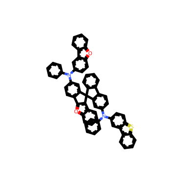 c1ccc(N(c2ccc3c(c2)C2(c4ccccc4-c4ccc(N(c5ccccc5)c5ccc6sc7ccccc7c6c5)cc42)c2c-3oc3ccccc23)c2ccc3oc4ccccc4c3c2)cc1